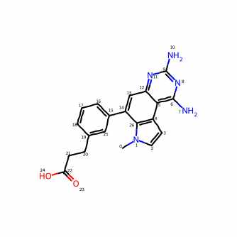 Cn1ccc2c3c(N)nc(N)nc3cc(-c3cccc(CCC(=O)O)c3)c21